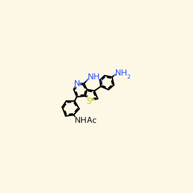 CC(=O)Nc1cccc(-c2cnc(N)c3c(-c4ccc(N)cc4)csc23)c1